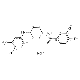 Cc1cc(N[C@H]2CC[C@@H](NC(=O)c3ccc(F)c(Cl)c3)CC2)ncc1F.Cl